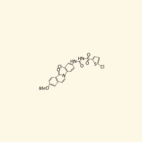 COc1ccc2c(=O)n(-c3ccc(NC(=O)NS(=O)(=O)c4ccc(Cl)s4)cc3Cl)ccc2c1